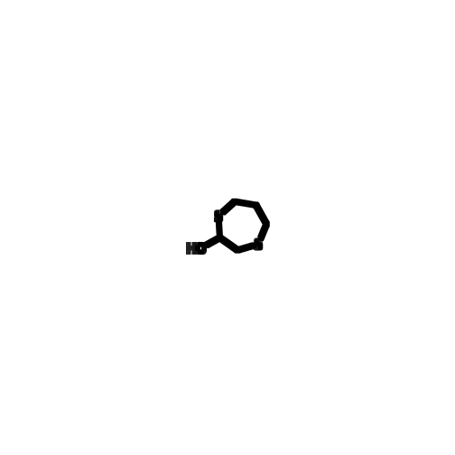 OC1CSCCCS1